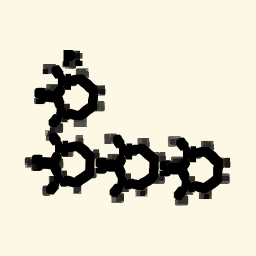 CN1CCCCN(C)C1=S.CN1CCCCN(C)C1=S.CN1CCCCN(C)C1=S.CN1CCCCN(C)C1=S.[Pt]